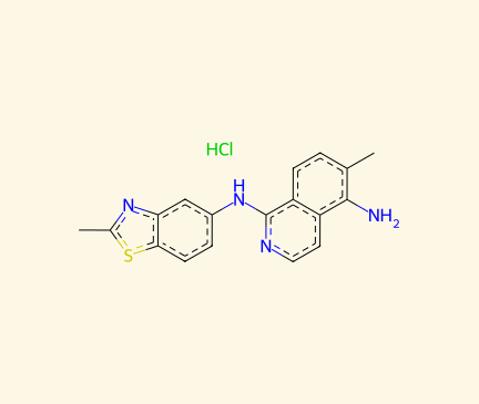 Cc1nc2cc(Nc3nccc4c(N)c(C)ccc34)ccc2s1.Cl